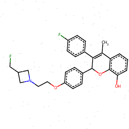 CC1=C(c2ccc(F)cc2)C(c2ccc(OCCN3CC(CF)C3)cc2)Oc2c(O)cccc21